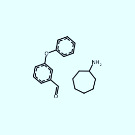 NC1CCCCCC1.O=Cc1cccc(Oc2ccccc2)c1